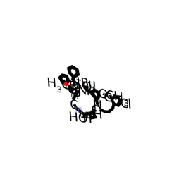 C[C@@H](C[C@@H]1CC/C=C\[C@H](O)[C@@H]2CC[C@H]2CN2CCCCC3C=C(Cl)C=CC3(C)COc3ccc(cc32)C(=O)NS1(=O)=O)O[Si](c1ccccc1)(c1ccccc1)C(C)(C)C